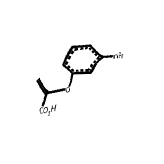 C=C(Oc1cccc(CCC)c1)C(=O)O